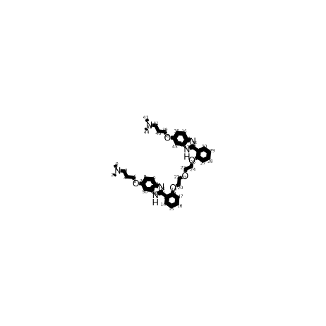 CN(C)CCCOc1ccc2nc(-c3ccccc3OCCOCCOc3ccccc3-c3nc4ccc(OCCCN(C)C)cc4[nH]3)[nH]c2c1